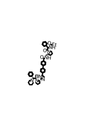 CCC(=O)N[C@@H](C(=O)N1CCC[C@H]1CNC(=O)c1ccc(-c2ccc(-c3cnc([C@@H]4CCCN4C(=O)[C@@H](c4ccccc4)N4CCCCC4)[nH]3)cc2)cc1)c1ccccc1